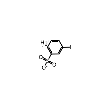 O=S(=O)([O-])c1cccc(I)c1.[Hg+]